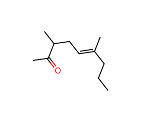 CCCC(C)=CCC(C)C(C)=O